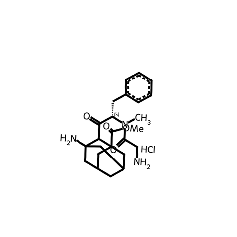 COC(=O)C12CC3CC(CC(N)(C3)C1C(=O)[C@H](Cc1ccccc1)N(C)C(=O)CN)C2.Cl